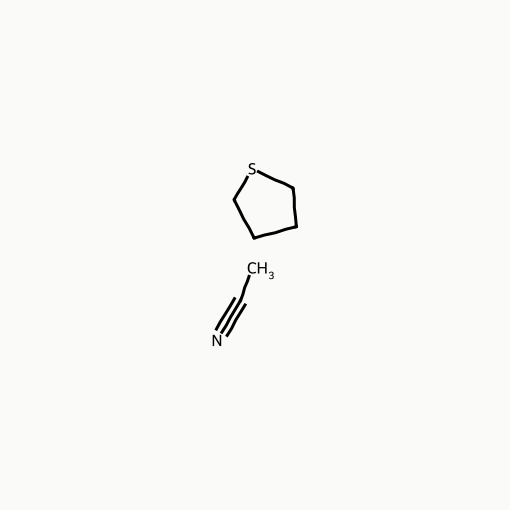 C1CCSC1.CC#N